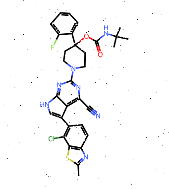 Cc1nc2ccc(-c3c[nH]c4nc(N5CCC(OC(=O)NC(C)(C)C)(c6ccccc6F)CC5)nc(C#N)c34)c(Cl)c2s1